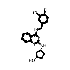 O[C@H]1CC[C@@H](Nc2nc(NCc3ccc(Cl)c(Cl)c3)c3ccccc3n2)C1